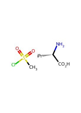 CC(C)[C@H](N)C(=O)O.CS(=O)(=O)Cl